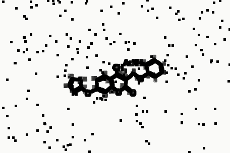 CC(=O)Nc1ccccc1OCc1c(C)c2ccc(Oc3nccs3)cc2oc1=O